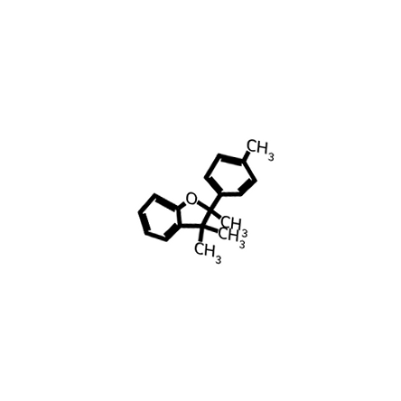 Cc1ccc(C2(C)Oc3ccccc3C2(C)C)cc1